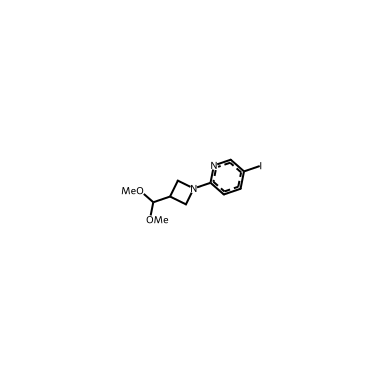 COC(OC)C1CN(c2ccc(I)cn2)C1